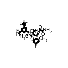 Cc1cc(F)ccc1[C@H]1CN(C(=O)C(N)=O)CC[C@@H]1C(=O)N(C)[C@@H](C)c1cc(C(F)(F)F)cc(C(F)(F)F)c1